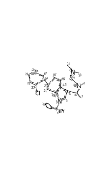 CC(C)C(=O)n1cc(C(C)N(C)SN(C)C)c2ccc(-c3ccccc3Cl)cc21